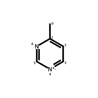 CC1=CC=[N+]C=N1